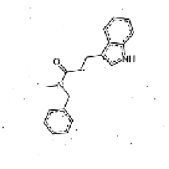 CN(Cc1ccccc1)C(=O)[CH]Cc1c[nH]c2ccccc12